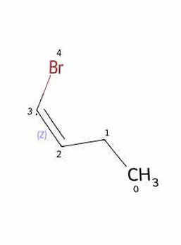 CC/C=[C]\Br